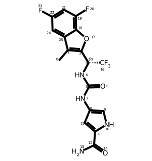 Cc1c([C@@H](NC(=O)Nc2c[nH]c(C(N)=O)c2)C(F)(F)F)oc2c(F)cc(F)cc12